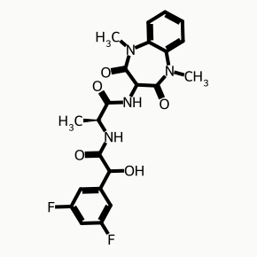 C[C@H](NC(=O)C(O)c1cc(F)cc(F)c1)C(=O)NC1C(=O)N(C)c2ccccc2N(C)C1=O